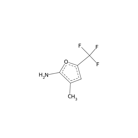 Cc1cc(C(F)(F)F)oc1N